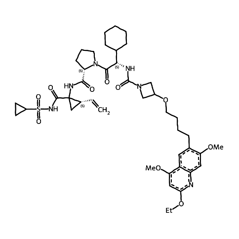 C=C[C@@H]1CC1(NC(=O)[C@@H]1CCCN1C(=O)[C@@H](NC(=O)N1CC(OCCCCc2cc3c(OC)cc(OCC)nc3cc2OC)C1)C1CCCCC1)C(=O)NS(=O)(=O)C1CC1